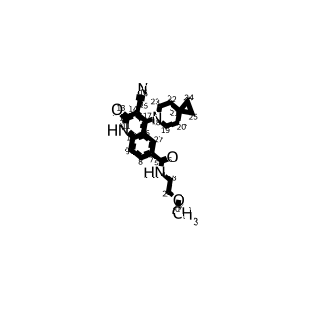 COCCNC(=O)c1ccc2[nH]c(=O)c(C#N)c(N3CCC4(CC3)CC4)c2c1